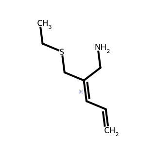 C=C/C=C(\CN)CSCC